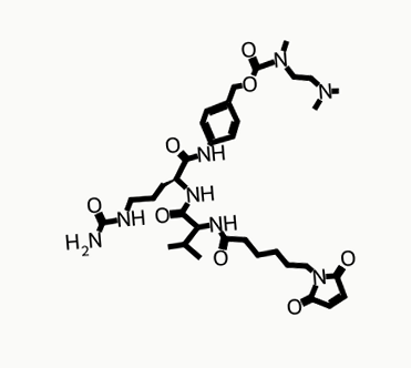 CC(C)C(NC(=O)CCCCCN1C(=O)C=CC1=O)C(=O)N[C@@H](CCCNC(N)=O)C(=O)Nc1ccc(COC(=O)N(C)CCN(C)C)cc1